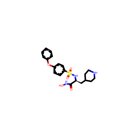 O=C(NO)[C@H](CC1CCNCC1)NS(=O)(=O)c1ccc(Oc2ccccc2)cc1